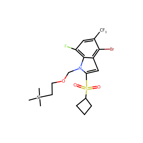 C[Si](C)(C)CCOCn1c(S(=O)(=O)C2CCC2)cc2c(Br)c(C(F)(F)F)cc(F)c21